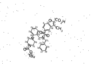 Cc1c(C(=O)O)oc2ccc(S(=O)(=O)N(Cc3ccccc3)Cc3ccccc3N3CCN(C(=O)OC(C)(C)C)CC3)cc12